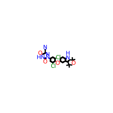 CC1(C)COC(C)(C)c2[nH]c3ccc(Oc4c(Cl)cc(-n5nc(C#N)c(=O)[nH]c5=O)cc4Cl)cc3c21